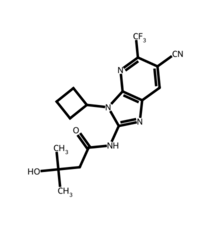 CC(C)(O)CC(=O)Nc1nc2cc(C#N)c(C(F)(F)F)nc2n1C1CCC1